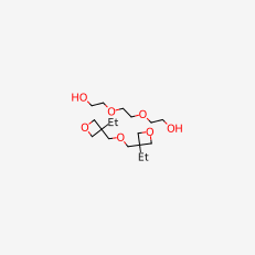 CCC1(COCC2(CC)COC2)COC1.OCCOCCOCCO